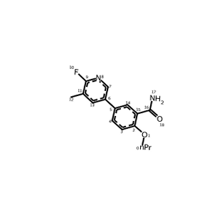 CCCOc1ccc(-c2cnc(F)c(C)c2)cc1C(N)=O